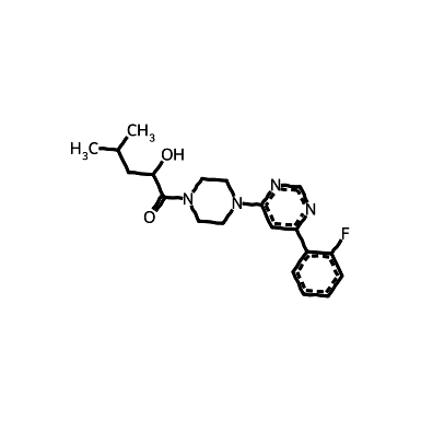 CC(C)CC(O)C(=O)N1CCN(c2cc(-c3ccccc3F)ncn2)CC1